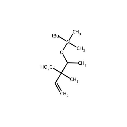 C=CC(C)(C(=O)O)C(C)O[Si](C)(C)C(C)(C)C